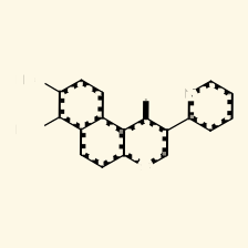 Cc1ccc2c(ccc3occ(-c4ccccn4)c(=O)c32)c1C